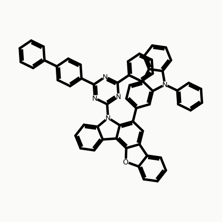 c1ccc(-c2ccc(-c3nc(-c4ccccc4)nc(-n4c5ccccc5c5c6oc7ccccc7c6cc(-c6ccc7c8ccccc8n(-c8ccccc8)c7c6)c54)n3)cc2)cc1